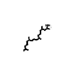 CC(C)CCCC(C)CCCC(C)CCCC(C)CC(C)N